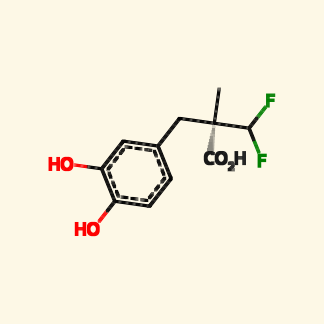 C[C@@](Cc1ccc(O)c(O)c1)(C(=O)O)C(F)F